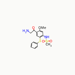 COc1cc(NS(C)(=O)=O)c(Sc2ccccc2)cc1C(=O)CN